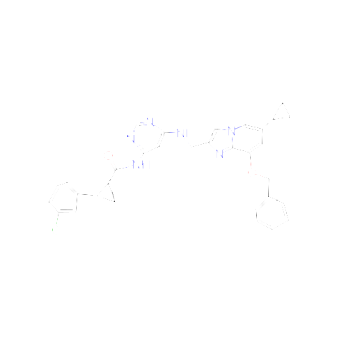 O=C(Nc1cc(NCc2cn3cc(C4CC4)cc(OCc4ccccc4)c3n2)ncn1)C1CC1c1cccc(Cl)c1